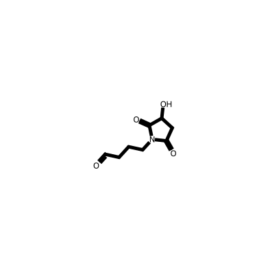 O=[C]CCCN1C(=O)CC(O)C1=O